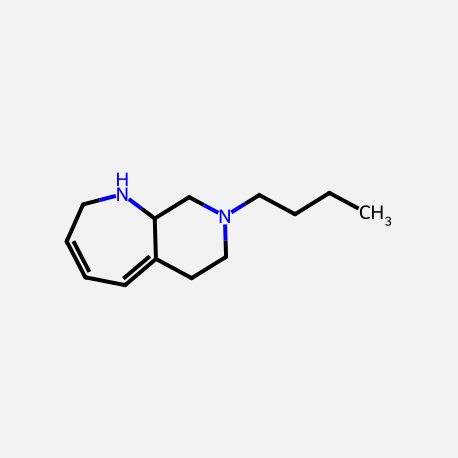 CCCCN1CCC2=CC=CCNC2C1